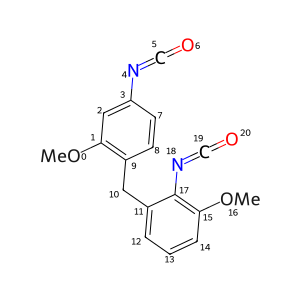 COc1cc(N=C=O)ccc1Cc1cccc(OC)c1N=C=O